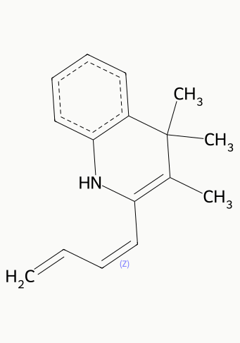 C=C/C=C\C1=C(C)C(C)(C)c2ccccc2N1